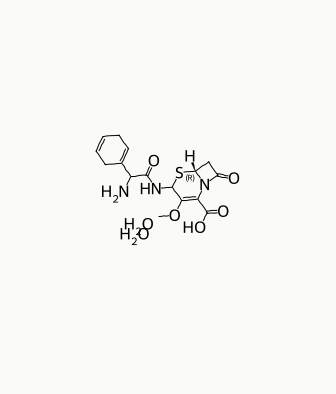 COC1=C(C(=O)O)N2C(=O)C[C@H]2SC1NC(=O)C(N)C1=CCC=CC1.O.O